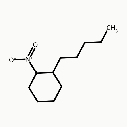 CCCCCC1CCCC[C]1[N+](=O)[O-]